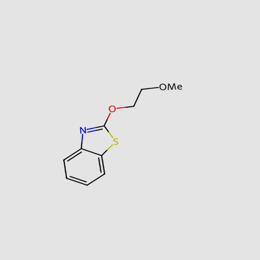 COCCOc1nc2ccccc2s1